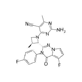 Cc1nc(N)nc(N2C[C@H](C)[C@H]2c2nn3ccc(F)c3c(=O)n2-c2ccc(F)cc2)c1C#N